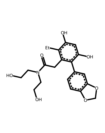 CCc1c(O)cc(O)c(-c2ccc3c(c2)OCO3)c1CC(=O)N(CCO)CCO